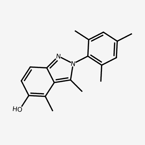 Cc1cc(C)c(-n2nc3ccc(O)c(C)c3c2C)c(C)c1